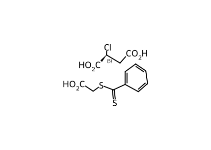 O=C(O)CSC(=S)c1ccccc1.O=C(O)C[C@H](Cl)C(=O)O